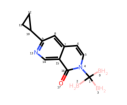 BC(B)(B)n1ccc2cc(C3CC3)ncc2c1=O